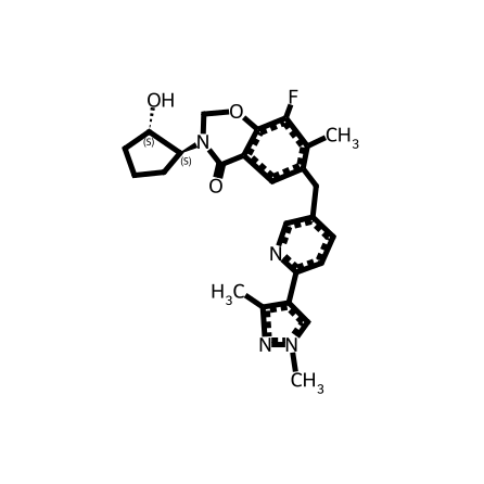 Cc1nn(C)cc1-c1ccc(Cc2cc3c(c(F)c2C)OCN([C@H]2CCC[C@@H]2O)C3=O)cn1